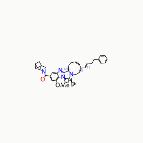 COc1cc(C(=O)N2CC34CC(CC23)C4)cc2nc(/C3=C/C\C=C/C(/C=C/CCc4ccccc4)=C\CN3CC3CC3)n(C)c12